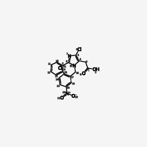 O=C(O)Cc1c(Cl)nc(-c2ccccc2)n1Cc1cc([N+](=O)[O-])ccc1Cl